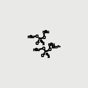 CCCCOP([O-])(=S)OCCCC.CCCCOP([O-])(=S)OCCCC.[Mn+2]